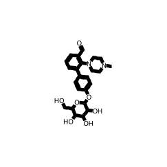 CN1CCN(c2c(C=O)cccc2-c2ccc(OC3OC(CO)C(O)C(O)C3O)cc2)CC1